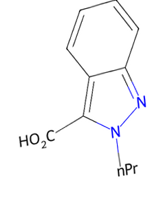 CCCn1nc2ccccc2c1C(=O)O